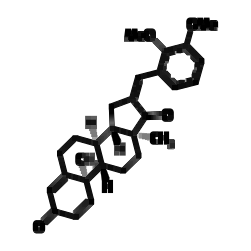 COc1cccc(C=C2C[C@H]3[C@@H]4CCC5=CC(=O)C=C[C@]5(C)[C@H]4CC[C@]3(C)C2=O)c1OC